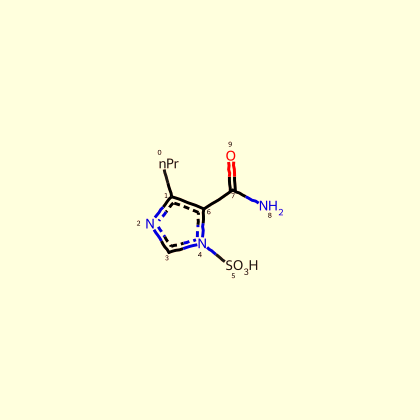 CCCc1ncn(S(=O)(=O)O)c1C(N)=O